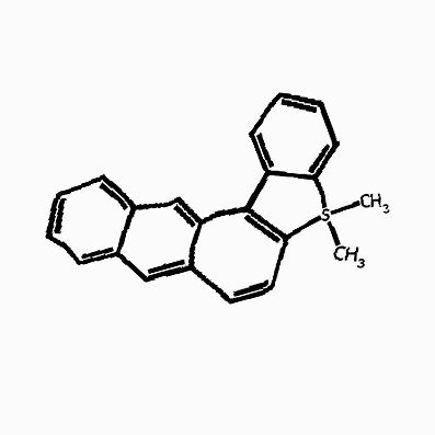 CS1(C)c2ccccc2-c2c1ccc1cc3ccccc3cc21